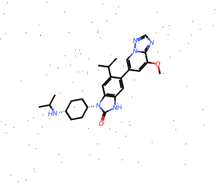 COc1cc(-c2cc3[nH]c(=O)n([C@H]4CC[C@@H](NC(C)C)CC4)c3cc2C(C)C)cn2ncnc12